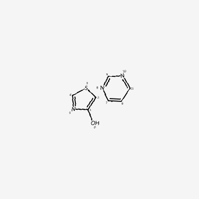 Oc1cscn1.c1cncnc1